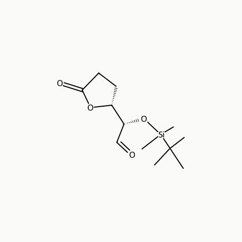 CC(C)(C)[Si](C)(C)O[C@H](C=O)[C@H]1CCC(=O)O1